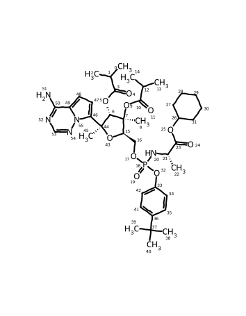 CC(C)C(=O)O[C@@H]1[C@@](C)(OC(=O)C(C)C)[C@@H](COP(=O)(N[C@@H](C)C(=O)OC2CCCCC2)Oc2ccc(C(C)(C)C)cc2)O[C@@]1(C)c1ccc2c(N)ncnn12